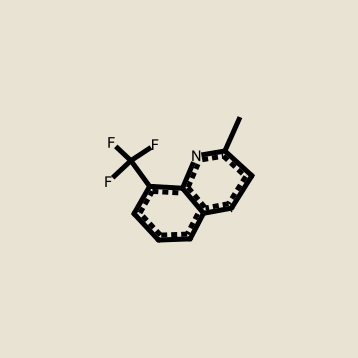 Cc1c[c]c2cccc(C(F)(F)F)c2n1